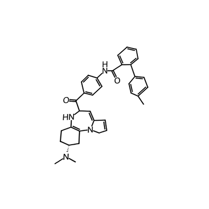 Cc1ccc(-c2ccccc2C(=O)Nc2ccc(C(=O)C3C=C4C=CCN4C4=C(CC[C@@H](N(C)C)C4)N3)cc2)cc1